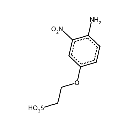 Nc1ccc(OCCS(=O)(=O)O)cc1[N+](=O)[O-]